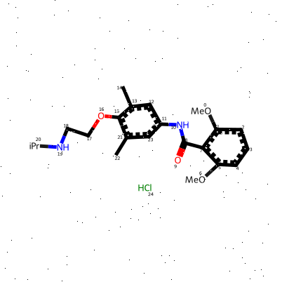 COc1cccc(OC)c1C(=O)Nc1cc(C)c(OCCNC(C)C)c(C)c1.Cl